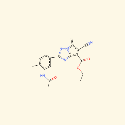 C=c1c(C#N)c(C(=O)OCC)c2nc(-c3ccc(C)c(NC(C)=O)c3)nn12